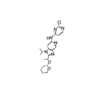 CC(OC1CCCCO1)c1nc2cnc(Nc3ccnc(Cl)n3)cc2n1C(C)C